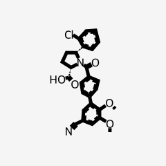 COc1cc(C#N)cc(-c2ccc(C(=O)N3[C@@H](c4ccccc4Cl)CC[C@H]3C(=O)O)cc2)c1OC